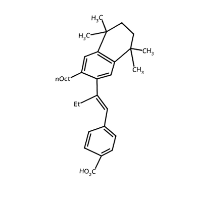 CCCCCCCCc1cc2c(cc1/C(=C/c1ccc(C(=O)O)cc1)CC)C(C)(C)CCC2(C)C